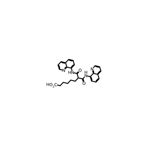 O=C(O)CCCCCC(C(=O)Nc1cccc2cccnc12)C(=O)Nc1cccc2cccnc12